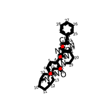 Cc1nc(-c2ccc(N3C4CCC3CN(CC(=O)N3CCc5nc(-c6ccccc6)sc5C3)C4)nc2)no1